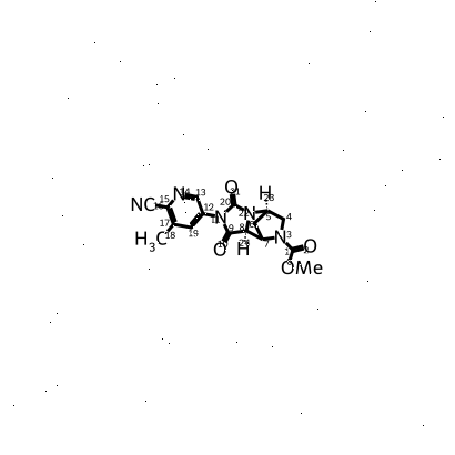 COC(=O)N1C[C@H]2CC1[C@H]1C(=O)N(c3cnc(C#N)c(C)c3)C(=O)N21